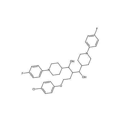 OC(C1CCN(c2ccc(F)cc2)CC1)C(CCOc1ccc(Cl)cc1)C(O)C1CCN(c2ccc(F)cc2)CC1